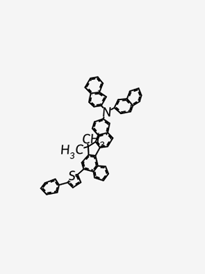 CC1(C)c2cc(-c3ccc(-c4ccccc4)s3)c3ccccc3c2-c2ccc3cc(N(c4ccc5ccccc5c4)c4ccc5ccccc5c4)ccc3c21